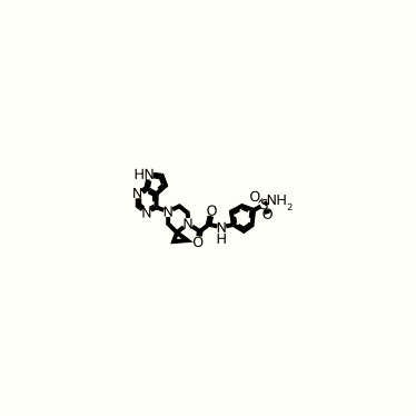 NS(=O)(=O)c1ccc(NC(=O)C(=O)N2CCN(c3ncnc4[nH]ccc34)CC23CC3)cc1